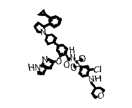 O=C(NS(=O)(=O)c1ccc(NCC2CCOCC2)c(Cl)c1)c1ccc(C2=CCC(N3CCCC3c3ccccc3C3CC3)CC2)cc1Oc1cnc2[nH]ccc2c1